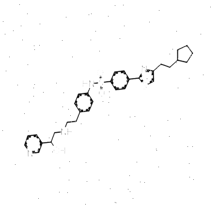 O=S(=O)(Nc1ccc(CCNCC(O)c2cccnc2)cc1)c1ccc(-c2nc(CCC3CCCC3)cs2)cc1